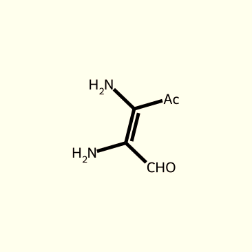 CC(=O)/C(N)=C(/N)C=O